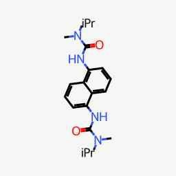 CC(C)N(C)C(=O)Nc1cccc2c(NC(=O)N(C)C(C)C)cccc12